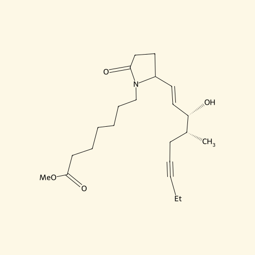 CCC#CC[C@@H](C)[C@@H](O)C=CC1CCC(=O)N1CCCCCCC(=O)OC